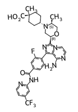 C[C@H]1CO[C@@H](c2nc(-c3ccc(C(=O)Nc4cc(C(F)(F)F)ccn4)cc3F)c3c(N)nccn23)CN1[C@H]1CC[C@](C)(C(=O)O)CC1